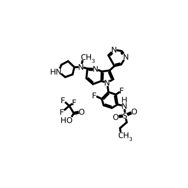 CCCS(=O)(=O)Nc1ccc(F)c(-n2cc(-c3cncnc3)c3nc(N(C)C4CCNCC4)ccc32)c1F.O=C(O)C(F)(F)F